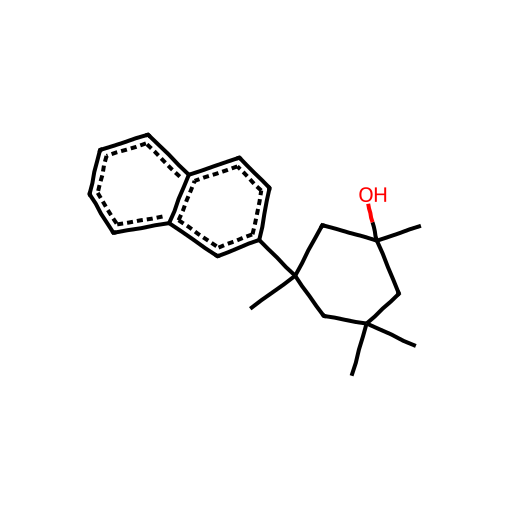 CC1(C)CC(C)(O)CC(C)(c2ccc3ccccc3c2)C1